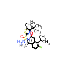 Cc1sc(S(N)(=O)=NC(=O)Cc2c(C(C)C)ccc(F)c2C(C)C)nc1C(C)(C)C